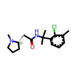 Cc1cccc(C(C)(C)NC(=O)C[C@@H]2CCCN2C)c1Cl